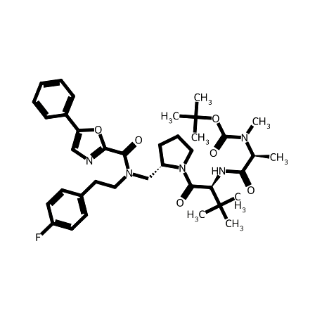 C[C@@H](C(=O)N[C@H](C(=O)N1CCC[C@H]1CN(CCc1ccc(F)cc1)C(=O)c1ncc(-c2ccccc2)o1)C(C)(C)C)N(C)C(=O)OC(C)(C)C